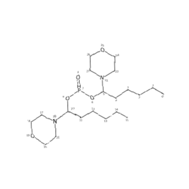 CCCCCC(O[PH](=O)OC(CCCCC)N1CCOCC1)N1CCOCC1